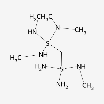 CN[Si](N)(N)C[Si](NC)(NC)N(C)C